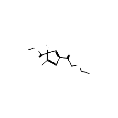 CCOCC(=O)C1=C[C]([Na])(C(=O)OC)C(C)=C1